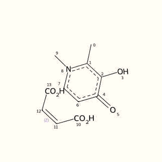 Cc1c(O)c(=O)ccn1C.O=C(O)/C=C\C(=O)O